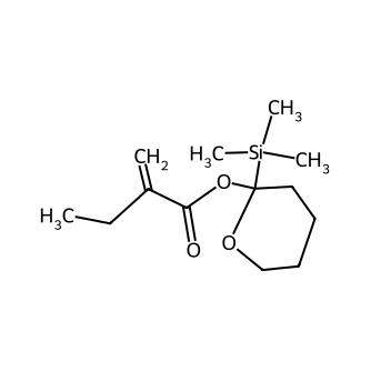 C=C(CC)C(=O)OC1([Si](C)(C)C)CCCCO1